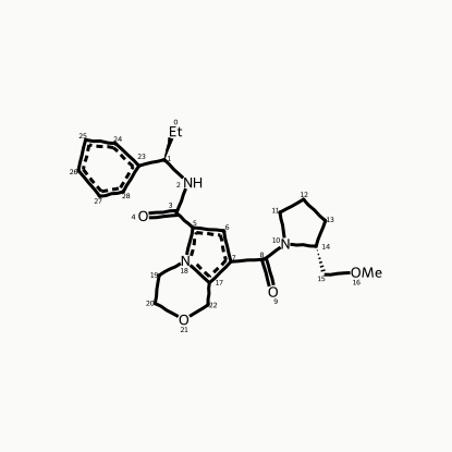 CC[C@@H](NC(=O)c1cc(C(=O)N2CCC[C@@H]2COC)c2n1CCOC2)c1ccccc1